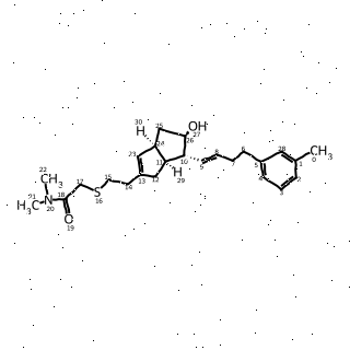 Cc1cccc(CC/C=C/[C@@H]2[C@H]3CC(CCSCC(=O)N(C)C)=C[C@H]3C[C@H]2O)c1